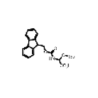 CC(C)(C)OC(NC(=O)OCC1c2ccccc2-c2ccccc21)C(=O)O